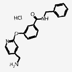 Cl.NCc1ccnc(Oc2cccc(C(=O)NCc3ccccc3)c2)c1